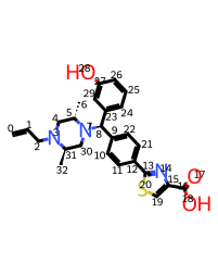 C=CCN1C[C@H](C)N([C@H](c2ccc(-c3nc(C(=O)O)cs3)cc2)c2cccc(O)c2)C[C@H]1C